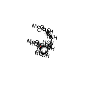 CC[C@H]1OC(=O)[C@H](C)[C@@H](O[C@H]2C[C@@](C)(OC)[C@@H](O)[C@H](C)O2)[C@H](C)[C@@H](O[C@@H]2O[C@H](C)C[C@H](N(C)CCC3=CN(C[C@H]4CN(c5ccc(OC)c(Cl)c5)C(=O)O4)NN3)[C@H]2O)[C@](C)(O)CCN(C)[C@H](C)[C@@H](O)[C@]1(C)O